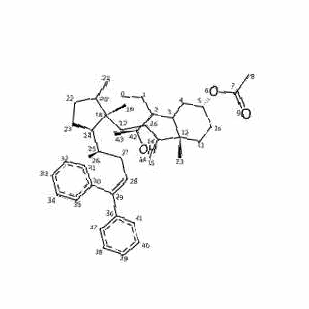 CCC(C1C[C@H](OC(C)=O)CC[C@]1(C)C(C)CC[C@@]1(C)C(C)CC[C@@H]1[C@H](C)CC=C(c1ccccc1)c1ccccc1)[C@H](C)O